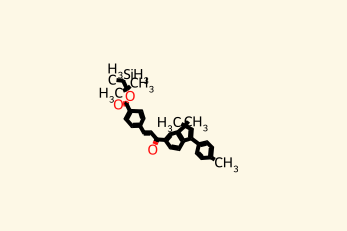 Cc1ccc(C2=CC(C)(C)c3cc(C(=O)C=Cc4ccc(C(=O)OC(C)(C)C(C)[SiH3])cc4)ccc32)cc1